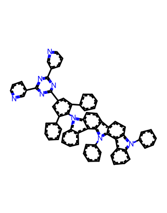 c1ccc(-c2cc(-c3nc(-c4cccnc4)nc(-c4cccnc4)n3)cc(-c3ccccc3)c2-n2c3ccccc3c3c2ccc2c4ccc5c(c6ccccc6n5-c5ccccc5)c4n(-c4ccccc4)c23)cc1